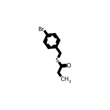 CCC(=O)SCc1ccc(Br)cc1